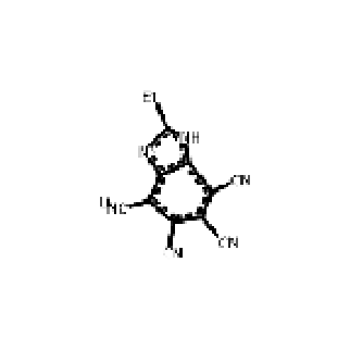 CCc1nc2c(C#N)c(C#N)c(C#N)c(C#N)c2[nH]1.[Li]